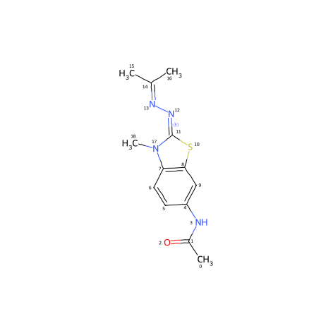 CC(=O)Nc1ccc2c(c1)s/c(=N/N=C(C)C)n2C